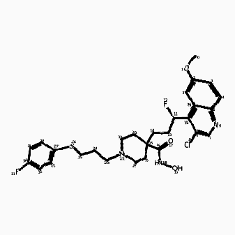 COc1ccc2ncc(Cl)c([C@H](F)CCC3(C(=O)NO)CCN(CCCSc4ccc(F)cc4)CC3)c2c1